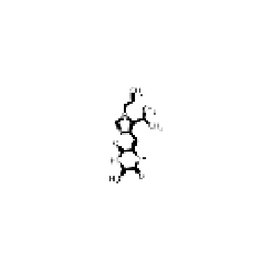 C=CCn1cnc(C=c2[nH]c(=O)c(=C)[nH]c2=O)c1C(C)C